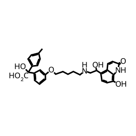 Cc1ccc(C(O)(C(=O)O)c2cccc(OCCCCCNCC(O)c3ccc(O)c4[nH]c(=O)ccc34)c2)cc1